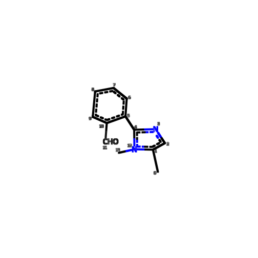 Cc1cnc(-c2ccccc2C=O)n1C